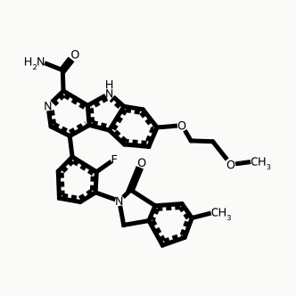 COCCOc1ccc2c(c1)[nH]c1c(C(N)=O)ncc(-c3cccc(N4Cc5ccc(C)cc5C4=O)c3F)c12